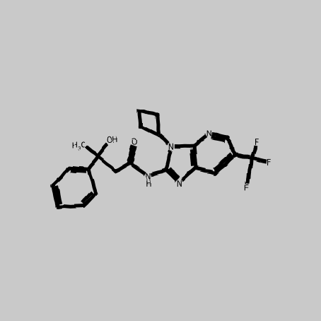 CC(O)(CC(=O)Nc1nc2cc(C(F)(F)F)cnc2n1C1CCC1)c1ccccc1